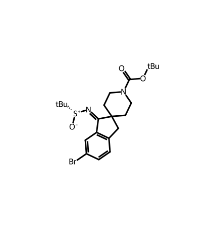 CC(C)(C)OC(=O)N1CCC2(CC1)Cc1ccc(Br)cc1/C2=N\[S@+]([O-])C(C)(C)C